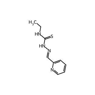 CCNC(=S)NN=Cc1ccccn1